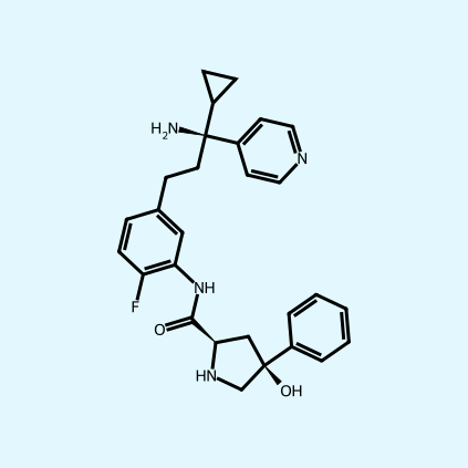 N[C@](CCc1ccc(F)c(NC(=O)[C@H]2C[C@](O)(c3ccccc3)CN2)c1)(c1ccncc1)C1CC1